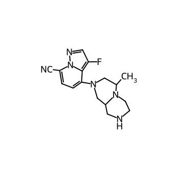 CC1CN(c2ccc(C#N)n3ncc(F)c23)CC2CNCCN12